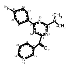 CN(C)c1nc(C(=O)c2cccnc2)nc(-c2ccc(F)cc2)n1